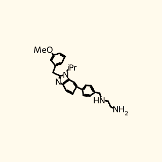 COc1cccc(Cc2nc3ccc(-c4ccc(CNCCN)cc4)cc3n2C(C)C)c1